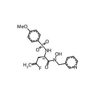 C=C(F)C[C@@H](NS(=O)(=O)c1ccc(OC)cc1)C(=O)N(O)Cc1cccnc1